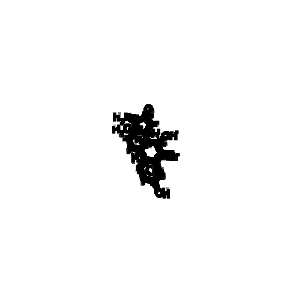 C[C@]12CCC(O)CC1C(Br)C(O)[C@@H]1[C@H]2CC[C@]2(C)C(N)C(=O)C[C@@H]12